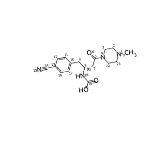 CN1CCN(C(=O)C[C@@H](Cc2ccc(C#N)cc2)NC(=O)O)CC1